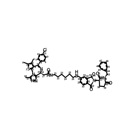 Cc1sc2c(c1C)C(c1ccc(Cl)cc1)=N[C@@H](CC(=O)NCCCCCCNc1ccc3c(c1)C(=O)N(C1CCC(=O)N(Cc4ccccc4)C1=O)C3=O)c1nnc(C)n1-2